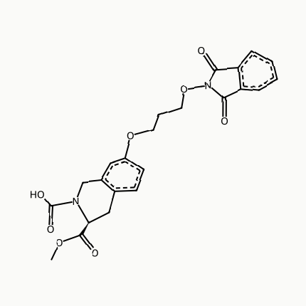 COC(=O)[C@@H]1Cc2ccc(OCCCON3C(=O)c4ccccc4C3=O)cc2CN1C(=O)O